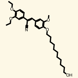 CCOc1ccc(/C(C#N)=C/c2ccc(OCCCCCCCCCCCO)c(OC)c2)cc1OCC